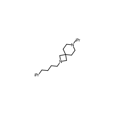 CC(C)CCCCN1CC2(CCN(C(C)C)CC2)C1